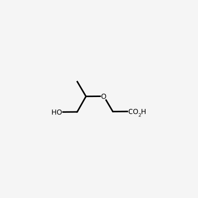 CC(CO)OCC(=O)O